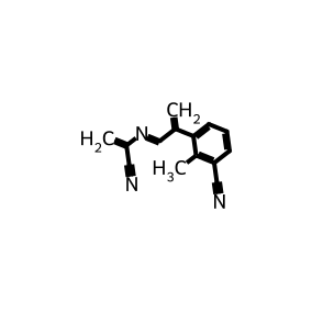 C=C(C#N)/N=C/C(=C)c1cccc(C#N)c1C